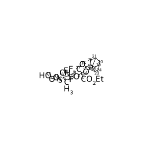 CCOC(=O)C(OCC(F)(F)C(C)(C)SOOO)(OC(=O)C12CC3CC(CC(C3)C1)C2)C(F)(F)F